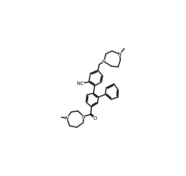 CN1CCCN(Cc2ccc(-c3ccc(C(=O)N4CCCN(C)CC4)cc3-c3ccccc3)c(C#N)c2)CC1